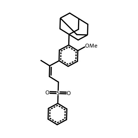 COc1ccc(/C(C)=C\CS(=O)(=O)c2ccccc2)cc1C12CC3CC(CC(C3)C1)C2